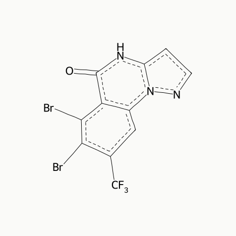 O=c1[nH]c2ccnn2c2cc(C(F)(F)F)c(Br)c(Br)c12